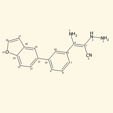 N#C/C(NN)=C(/N)c1cccc(-c2ccc3occc3c2)c1